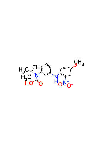 COc1ccc(Nc2cccc(N(C(=O)O)C(C)(C)C)c2)c([N+](=O)[O-])c1